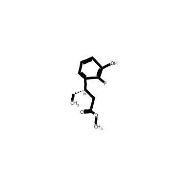 CC[C@@H](CC(=O)OC)c1cccc(O)c1F